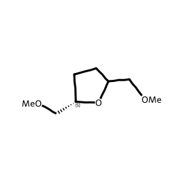 COCC1CC[C@@H](COC)O1